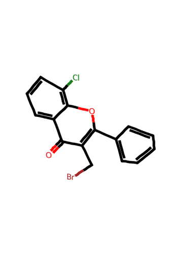 O=c1c(CBr)c(-c2ccccc2)oc2c(Cl)cccc12